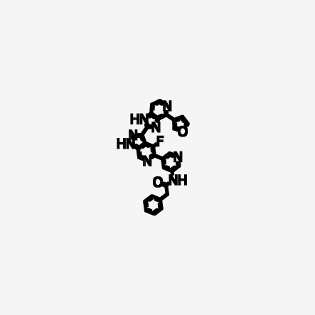 O=C(Cc1ccccc1)Nc1cncc(-c2ncc3[nH]nc(-c4nc5c(-c6ccoc6)nccc5[nH]4)c3c2F)c1